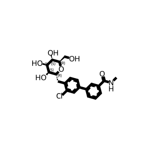 CNC(=O)c1cccc(-c2ccc(C[C@H]3O[C@H](CO)[C@@H](O)[C@H](O)[C@@H]3O)c(Cl)c2)c1